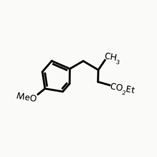 CCOC(=O)CC(C)Cc1ccc(OC)cc1